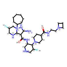 NC1N[N+]2(C3CCCCCC3)CC(F)CNC2C1C(=O)NC1CNCC(F)C1N1CCC(C(=O)NCCN2CCC2)CC1